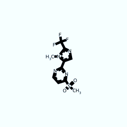 Cn1c(-c2nccc(S(C)(=O)=O)n2)cnc1C(F)(F)F